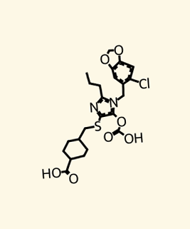 CCCc1nc(SCC2CCC(C(=O)O)CC2)c(OC(=O)O)n1Cc1cc2c(cc1Cl)OCO2